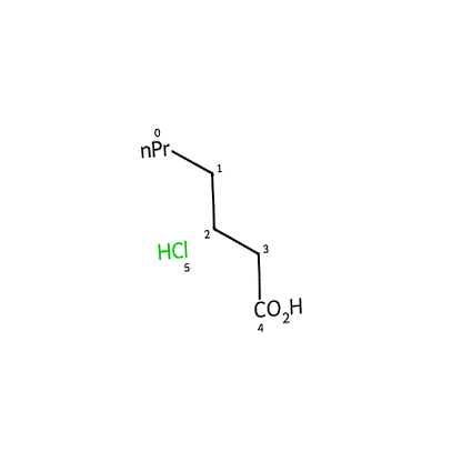 CCCCCCC(=O)O.Cl